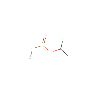 CCOS(=O)OC(C)F